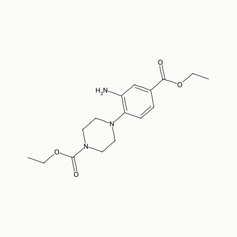 CCOC(=O)c1ccc(N2CCN(C(=O)OCC)CC2)c(N)c1